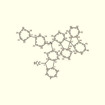 CC1c2ccccc2-c2ccc(N(c3ccc(-c4ccccc4)cc3)c3cccc4c3-c3ccccc3C43c4ccccc4-c4ccccc43)cc21